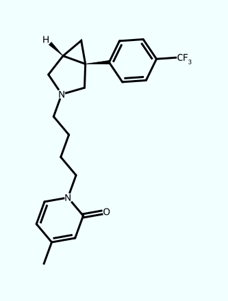 Cc1ccn(CCCCN2C[C@@H]3C[C@]3(c3ccc(C(F)(F)F)cc3)C2)c(=O)c1